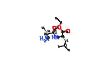 CCOC(=O)[C@H](CC(C)C)NC(=O)[C@@H](C)N